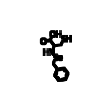 O=C(O)C(CS)N[Se]Cc1ccccc1